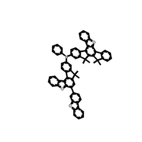 CC1(C)c2cc(N(c3ccccc3)c3ccc4c(c3)C(C)(C)c3c5c(c6oc7ccccc7c6c3-4)-c3ccccc3C5(C)C)ccc2-c2c1cc(-c1ccc3c(c1)oc1ccccc13)c1oc3ccccc3c21